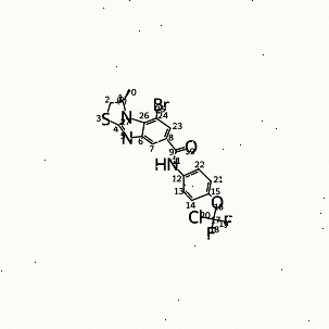 C[C@@H]1CSc2nc3cc(C(=O)Nc4ccc(OC(F)(F)Cl)cc4)cc(Br)c3n21